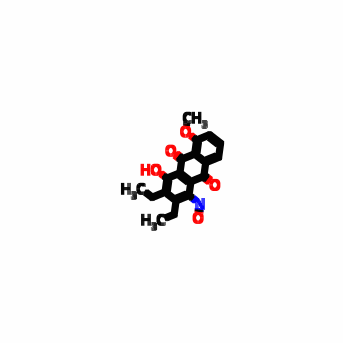 CCc1c(O)c2c(c(N=O)c1CC)C(=O)c1cccc(OC)c1C2=O